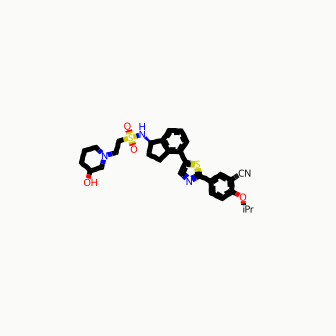 CC(C)Oc1ccc(-c2ncc(-c3cccc4c3CC[C@H]4NS(=O)(=O)CCN3CCCC(O)C3)s2)cc1C#N